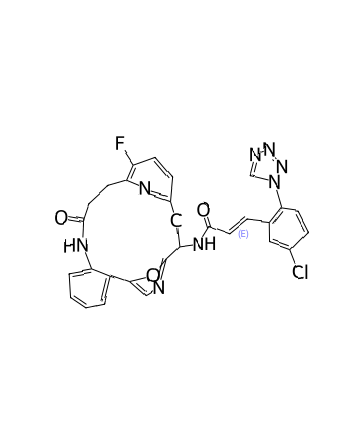 O=C(/C=C/c1cc(Cl)ccc1-n1cnnn1)NC1Cc2ccc(F)c(n2)CCC(=O)Nc2ccccc2-c2cnc1o2